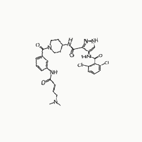 CN(C)C/C=C/C(=O)Nc1cccc(C(=O)N2CCC(NC(=O)c3n[nH]cc3NC(=O)c3c(Cl)cccc3Cl)CC2)c1